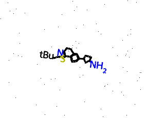 CC(C)(C)Cc1nc2c(s1)-c1ccc(C3CCC(N)C3)cc1CC2